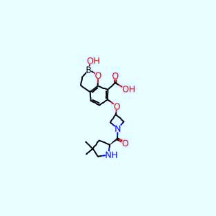 CC1(C)CN[C@H](C(=O)N2CC(Oc3ccc4c(c3C(=O)O)OB(O)CC4)C2)C1